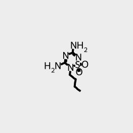 CCCCN1C(N)=NC(N)=NS1(=O)=O